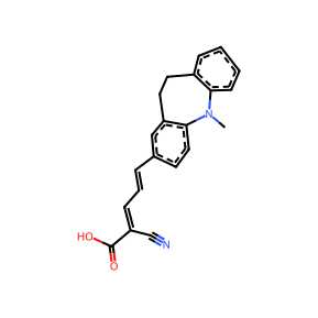 CN1c2ccccc2CCc2cc(/C=C/C=C(\C#N)C(=O)O)ccc21